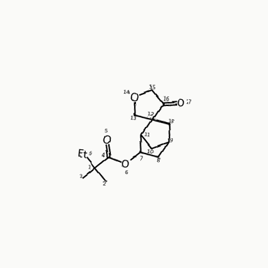 CCC(C)(C)C(=O)OC1CC2CC1C1(COCC1=O)C2